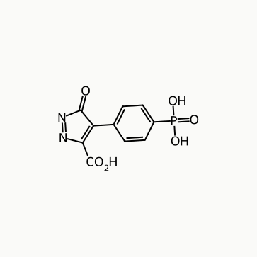 O=C(O)C1=C(c2ccc(P(=O)(O)O)cc2)C(=O)N=N1